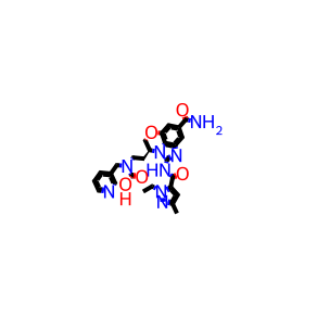 CCn1nc(C)cc1C(=O)Nc1nc2cc(C(N)=O)cc3c2n1[C@@H](CCN(Cc1cccnc1)C(=O)O)CO3